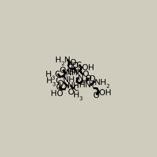 CC(=O)N[C@@H](CC(=O)O)C(=O)N[C@H](C(=O)N[C@@H](CC(N)=O)C(=O)N[C@H](C(=O)N1CCC[C@H]1C(=O)N[C@@H](CCC(=O)O)C(N)=O)C(C)O)C(C)C